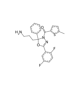 Cc1ccc(C(=O)N2N=C(c3cc(F)ccc3F)OC2(CCCN)c2ccccc2)s1